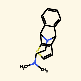 CN(C)CCN1C2c3ccccc3C1c1sccc12